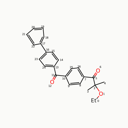 CCOC(C)(C)C(=O)c1ccc(C(=O)c2ccc(-c3ccccc3)cc2)cc1